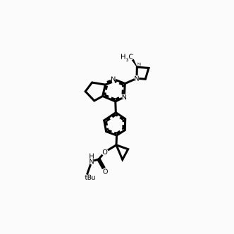 C[C@H]1CCN1c1nc2c(c(-c3ccc(C4(OC(=O)NC(C)(C)C)CC4)cc3)n1)CCC2